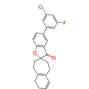 O=C1c2cc(-c3cc(F)cc(Cl)c3)ccc2OC12CCC1=C(CCC=C1)CC2